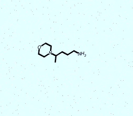 CC(CCCN)N1CCOCC1